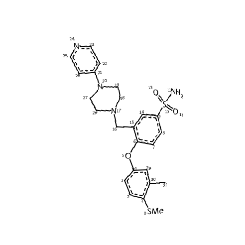 CSc1ccc(Oc2ccc(S(N)(=O)=O)cc2CN2CCN(c3ccncc3)CC2)cc1C